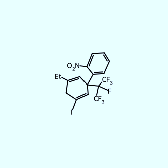 CCC1=CC(c2ccccc2[N+](=O)[O-])(C(F)(C(F)(F)F)C(F)(F)F)C=C(I)[CH]1